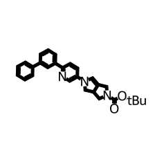 CC(C)(C)OC(=O)N1CC2=CN(c3ccc(-c4cccc(-c5ccccc5)c4)nc3)CC2C1